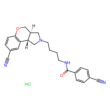 Cl.N#Cc1ccc(C(=O)NCCCCN2C[C@@H]3COc4ccc(C#N)cc4[C@H]3C2)cc1